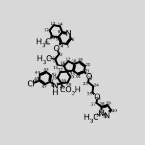 C[C@@H](COc1ccnc2c1[C@H](C)CCC2)C[C@H]1Cc2ccc(OCCCOCc3ccnn3C)cc2C12CCC(Nc1cccc(Cl)c1)(C(=O)O)CC2